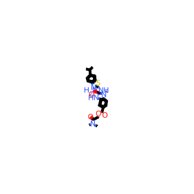 CC(C)c1ccc2nc(NC3(C(N)=O)Nc4cc(C(=O)OCC(=O)N(C)C)ccc4N3C)sc2c1